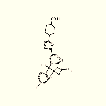 CC(C)c1ccc([C@](O)(c2cncc(-c3noc(C4CCC(C(=O)O)CC4)n3)c2)C2(C)CN(C)C2)cc1